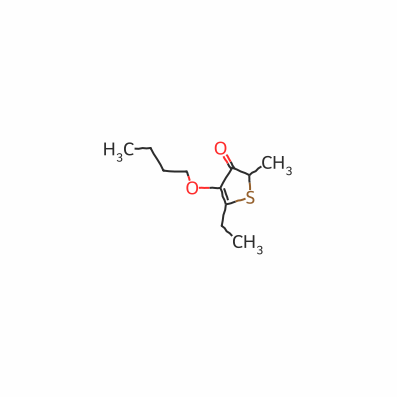 CCCCOC1=C(CC)SC(C)C1=O